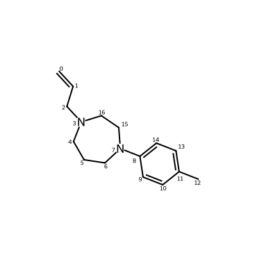 C=CCN1CCCN(c2ccc(C)cc2)CC1